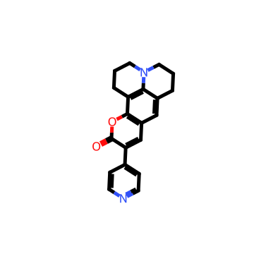 O=c1oc2c3c4c(cc2cc1-c1ccncc1)CCCN4CCC3